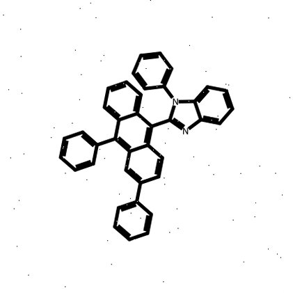 c1ccc(-c2ccc3c(-c4nc5ccccc5n4-c4ccccc4)c4ccccc4c(-c4ccccc4)c3c2)cc1